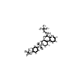 O=C(NCC(F)(F)F)c1ncccc1C1=CCN(S(=O)(=O)c2ccc(OC(F)(F)F)cc2)CC1